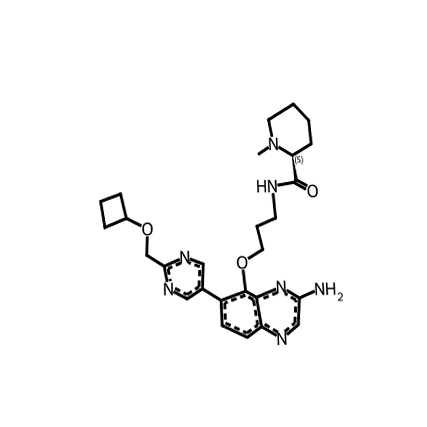 CN1CCCC[C@H]1C(=O)NCCCOc1c(-c2cnc(COC3CCC3)nc2)ccc2ncc(N)nc12